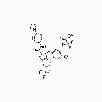 COc1ccc(Cn2c(C(=O)Nc3ccc(N4CCC4)nc3)cc3cc(C(F)(F)F)cnc32)cc1.O=C(O)C(F)(F)F